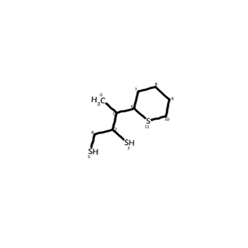 CC(C(S)[CH]S)C1CCCCS1